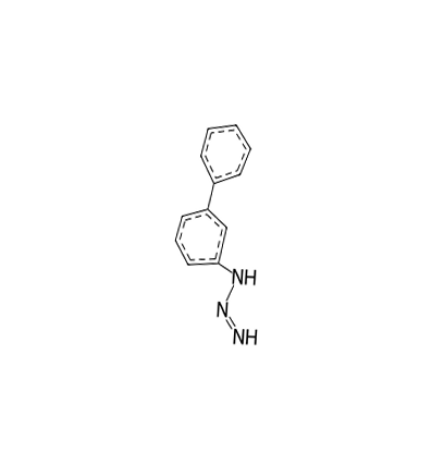 N=NNc1cccc(-c2ccccc2)c1